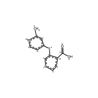 Cc1cc(Sc2cnccc2C(=O)O)ccn1